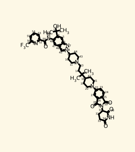 CC(C)(O)c1cc2nn(C3CCN(CCC(C)(C)C4CCN(c5ccc6c(c5)C(=O)N(C5CCC(=O)NC5=O)C6=O)CC4)CC3)cc2cc1NC(=O)c1cccc(C(F)(F)F)n1